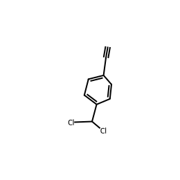 C#Cc1ccc(C(Cl)Cl)cc1